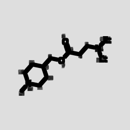 CCN(CC)CCC(=O)OCC1CCN(C)CC1